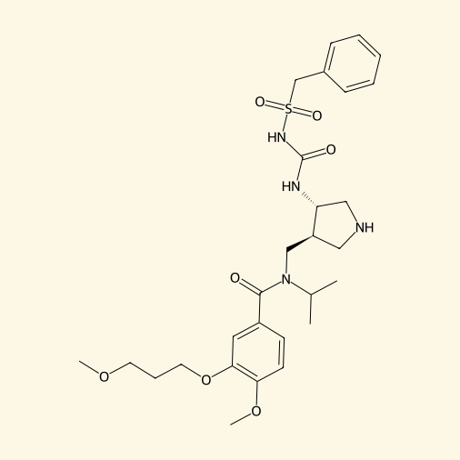 COCCCOc1cc(C(=O)N(C[C@@H]2CNC[C@H]2NC(=O)NS(=O)(=O)Cc2ccccc2)C(C)C)ccc1OC